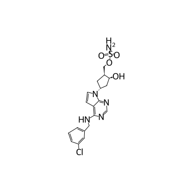 NS(=O)(=O)OC[C@@H]1C[C@@H](n2ccc3c(NCc4cccc(Cl)c4)ncnc32)C[C@@H]1O